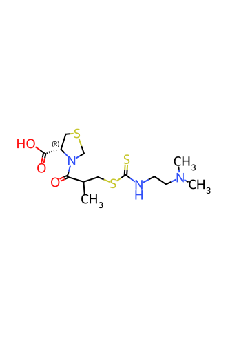 CC(CSC(=S)NCCN(C)C)C(=O)N1CSC[C@H]1C(=O)O